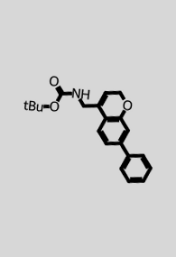 CC(C)(C)OC(=O)NCC1=CCOc2cc(-c3ccccc3)ccc21